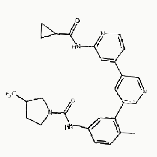 Cc1ccc(NC(=O)N2CCC(C(F)(F)F)C2)cc1-c1cncc(-c2ccnc(NC(=O)C3CC3)c2)c1